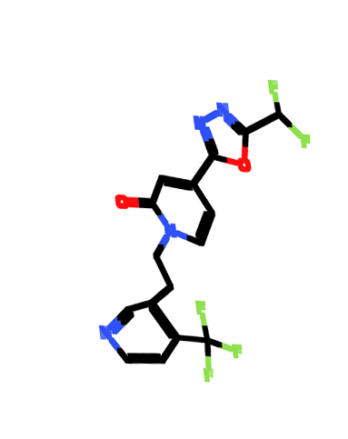 O=c1cc(-c2nnc(C(F)F)o2)ccn1CCc1cnccc1C(F)(F)F